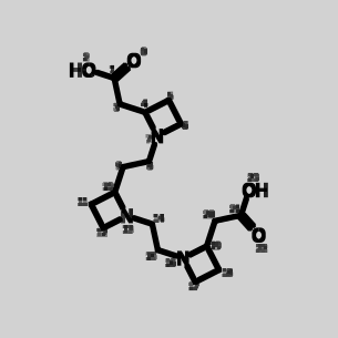 O=C(O)CC1CCN1CCC1CCN1CCN1CCC1CC(=O)O